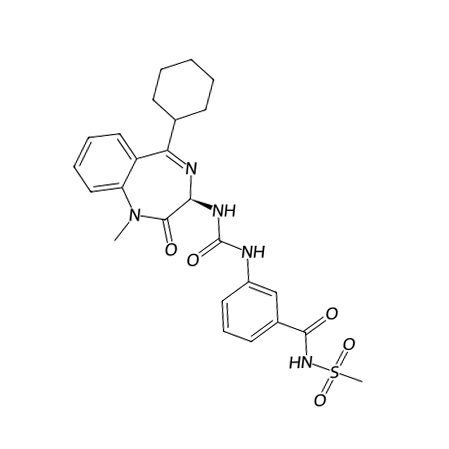 CN1C(=O)[C@H](NC(=O)Nc2cccc(C(=O)NS(C)(=O)=O)c2)N=C(C2CCCCC2)c2ccccc21